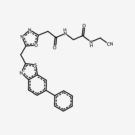 N#CCNC(=O)CNC(=O)Cc1nnc(Cc2nc3ccc(-c4ccccc4)cc3s2)o1